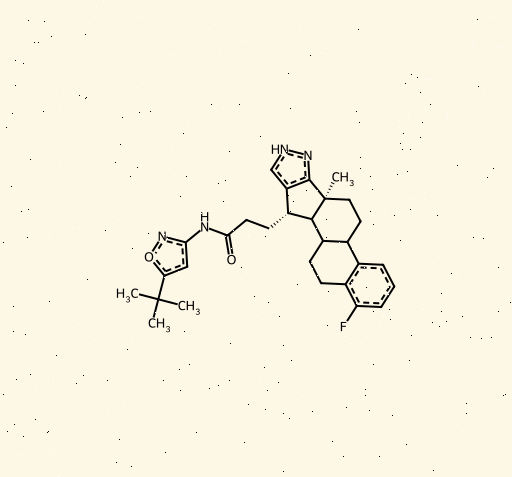 CC(C)(C)c1cc(NC(=O)CC[C@@H]2c3c[nH]nc3[C@@]3(C)CCC4c5cccc(F)c5CCC4C23)no1